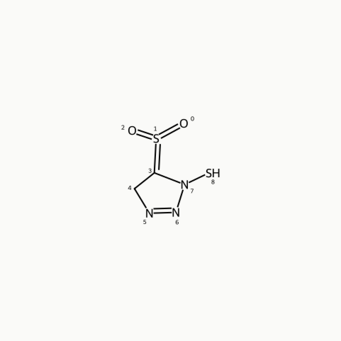 O=S(=O)=C1CN=NN1S